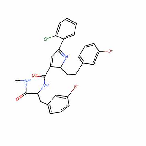 CNC(=O)C(Cc1cccc(Br)c1)NC(=O)C1=CC(c2ccccc2Cl)=NC1CCc1cccc(Br)c1